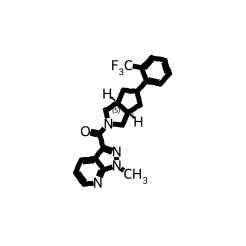 Cn1nc(C(=O)N2C[C@H]3CC(c4ccccc4C(F)(F)F)C[C@H]3C2)c2cccnc21